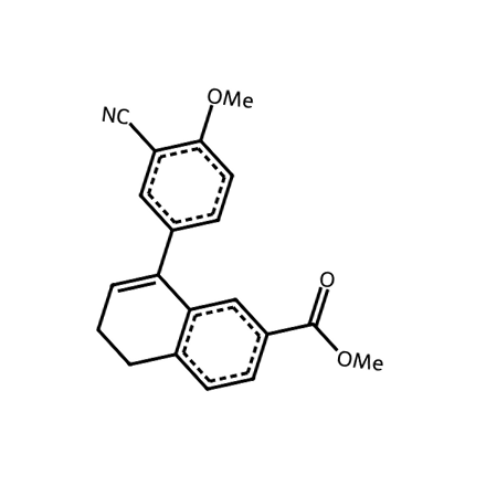 COC(=O)c1ccc2c(c1)C(c1ccc(OC)c(C#N)c1)=CCC2